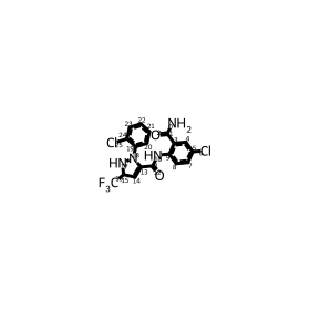 NC(=O)c1cc(Cl)ccc1NC(=O)C1=CC(C(F)(F)F)NN1c1ccccc1Cl